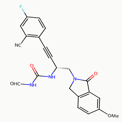 COc1ccc2c(c1)C(=O)N(C[C@@H](C#Cc1ccc(F)cc1C#N)NC(=O)NC=O)C2